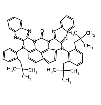 CC(C)(C)Cc1ccccc1B1c2ccc3ccc4c5c3c2N(C(=O)N5c2nc3ccccc3nc2B4c2c(CC(C)(C)C)cccc2CC(C)(C)C)c2nc3ccccc3nc21